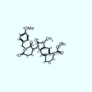 COc1ccc(CN2C(=O)CCC(n3c(=O)n(C)c4cc5c(cc43)CCCN5C(=O)OC(C)(C)C)C2=O)cc1